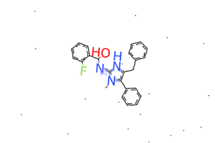 Cn1c(-c2ccccc2)c(Cc2ccccc2)[nH]/c1=N\C(O)c1ccccc1F